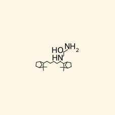 CC1(C)C2CCC(C2)C1CCCCC(NCC(O)CN)C1C2CCC(C2)C1(C)C